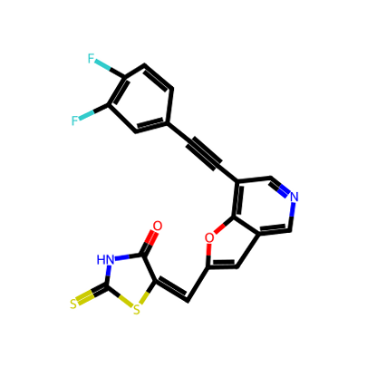 O=C1NC(=S)SC1=Cc1cc2cncc(C#Cc3ccc(F)c(F)c3)c2o1